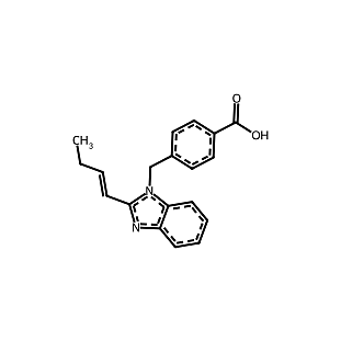 CC/C=C/c1nc2ccccc2n1Cc1ccc(C(=O)O)cc1